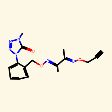 C#CCO/N=C(C)/C(C)=N/OCc1ccccc1-n1nnn(C)c1=O